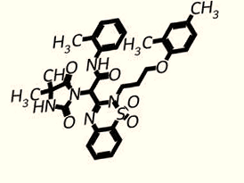 Cc1ccc(OCCCN2C(C(C(=O)Nc3ccccc3C)N3C(=O)NC(C)(C)C3=O)=Nc3ccccc3S2(=O)=O)c(C)c1